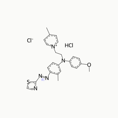 COc1ccc(N(CC[n+]2ccc(C)cc2)c2ccc(/N=N/c3nccs3)c(C)c2)cc1.Cl.[Cl-]